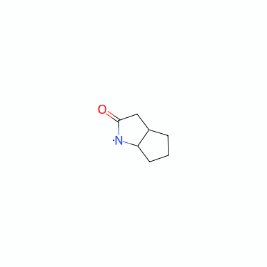 O=C1CC2CCCC2[N]1